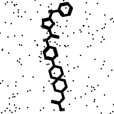 O=C(O)CC1CCC2(CC1)CCC(c1ccc(NC(=O)c3nnc(Nc4ccccc4)o3)cn1)CC2